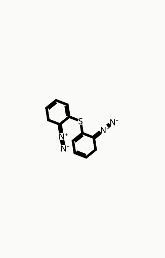 [N-]=[N+]=C1CC=CC=C1SC1=CC=CCC1=[N+]=[N-]